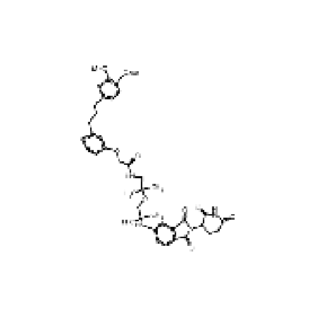 COc1ccc(CCCc2cccc(OCC(=O)NCC(C)(C)OCC(C)(C)Nc3ccc4c(c3)C(=O)N(C3CCC(=O)NC3=O)C4=O)c2)cc1OC